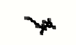 N#Cc1nc(-c2cc(Cl)cc(Cl)c2Cl)oc1NCCCCCO